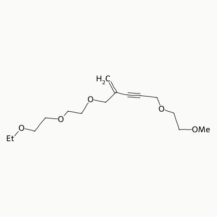 C=C(C#CCOCCOC)COCCOCCOCC